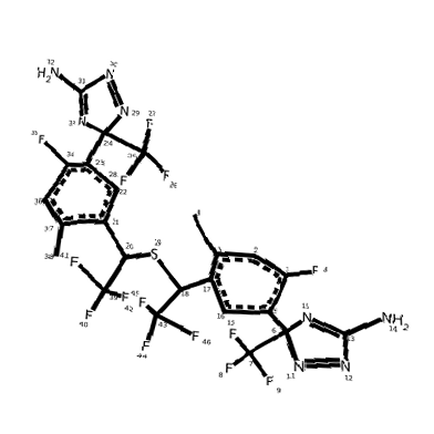 Cc1cc(F)c(C2(C(F)(F)F)N=NC(N)=N2)cc1C(SC(c1cc(C2(C(F)(F)F)N=NC(N)=N2)c(F)cc1C)C(F)(F)F)C(F)(F)F